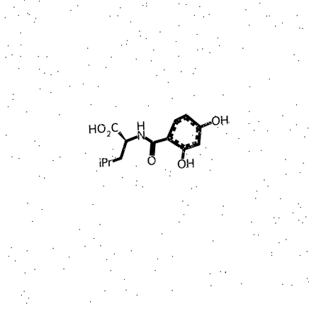 CC(C)C[C@H](NC(=O)c1ccc(O)cc1O)C(=O)O